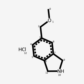 COCc1ccc2c(c1)CNC2.Cl